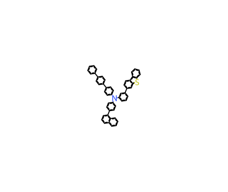 c1ccc(-c2ccc(-c3ccc(N(c4ccc(-c5cccc6ccccc56)cc4)c4cccc(-c5ccc6c(c5)sc5ccccc56)c4)cc3)cc2)cc1